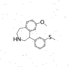 COc1ccc2c(c1)C(c1cccc(SC)c1)CNCC2